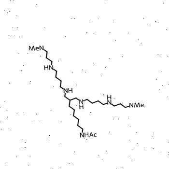 CNCCCNCCCCNCC(CCCCCCNC(C)=O)CNCCCCNCCCNC